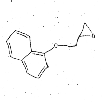 [c]1cccc2c(OCC3CO3)cccc12